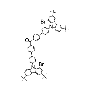 CC(C)(C)c1ccc2c(c1)c1cc(C(C)(C)C)cc(Br)c1n2-c1ccc(-c2ccc(C(=O)c3ccc(-c4ccc(-n5c6ccc(C(C)(C)C)cc6c6cc(C(C)(C)C)cc(Br)c65)cc4)cc3)cc2)cc1